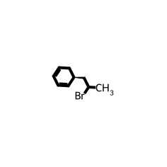 CC(Br)C[C@H]1C=CC=CC1